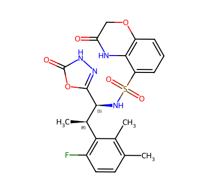 Cc1ccc(F)c([C@@H](C)[C@H](NS(=O)(=O)c2cccc3c2NC(=O)CO3)c2n[nH]c(=O)o2)c1C